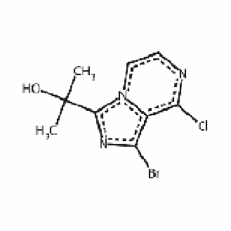 CC(C)(O)c1nc(Br)c2c(Cl)nccn12